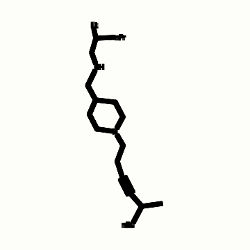 CCCCC(C)C#CCCN1CCC(CNCC(CC)CCC)CC1